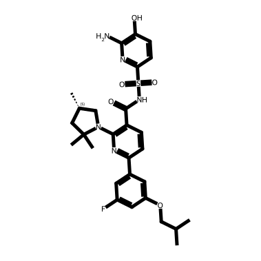 CC(C)COc1cc(F)cc(-c2ccc(C(=O)NS(=O)(=O)c3ccc(O)c(N)n3)c(N3C[C@@H](C)CC3(C)C)n2)c1